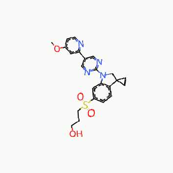 COc1ccnc(-c2cnc(N3CC4(CC4)c4ccc(S(=O)(=O)CCCO)cc43)nc2)c1